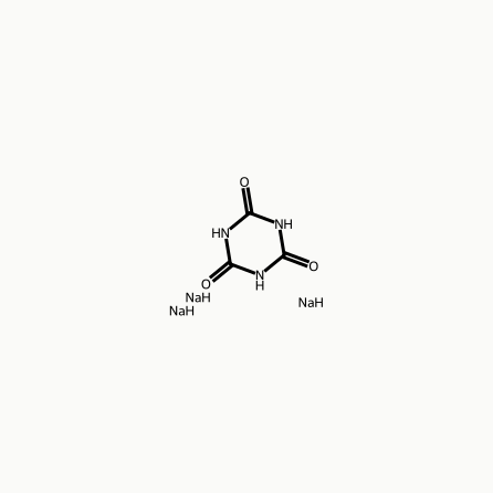 O=c1[nH]c(=O)[nH]c(=O)[nH]1.[NaH].[NaH].[NaH]